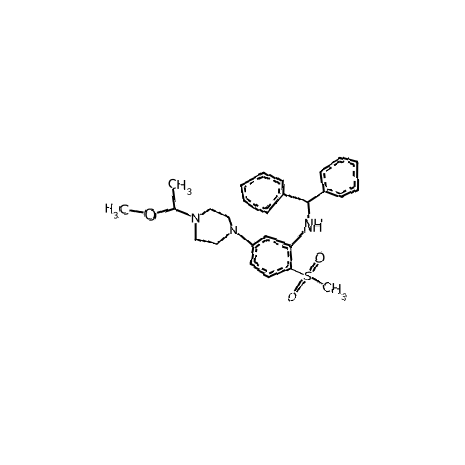 COC(C)N1CCN(c2ccc(S(C)(=O)=O)c(NC(c3ccccc3)c3ccccc3)c2)CC1